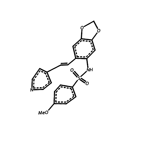 COc1ccc(S(=O)(=O)Nc2cc3c(cc2C=Cc2ccncc2)OCO3)cc1